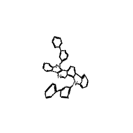 c1ccc(-c2cccc(-n3c4ccccc4c4ccc5c(cnc6c7ccccc7n(-c7cccc(-c8ccccc8)c7)c56)c43)c2)cc1